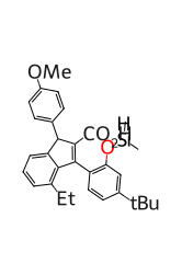 CCc1cccc2c1C(c1ccc(C(C)(C)C)cc1O[SiH](C)C)=C(C(=O)O)C2c1ccc(OC)cc1